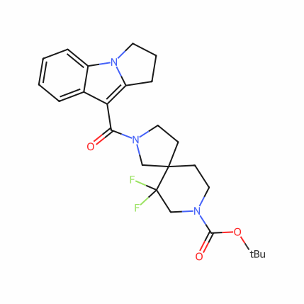 CC(C)(C)OC(=O)N1CCC2(CCN(C(=O)c3c4n(c5ccccc35)CCC4)C2)C(F)(F)C1